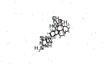 CCC12CCCN3CCc4c(n(c5ccccc45)C(O)(C(=O)OC)C1)C32.Nc1nc(=S)c2[nH]cnc2[nH]1